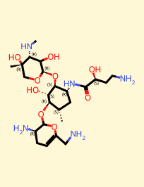 CN[C@@H]1C(O)[C@@H](O[C@@H]2[C@@H](O)[C@H](OC3OC(CN)=CC[C@H]3N)[C@@H](C)C[C@H]2NC(=O)[C@@H](O)CCN)OC[C@]1(C)O